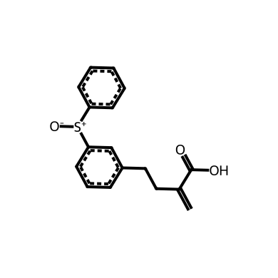 C=C(CCc1cccc([S+]([O-])c2ccccc2)c1)C(=O)O